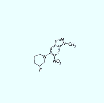 Cn1ncc2cc(N3CCCC(F)C3)c([N+](=O)[O-])cc21